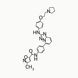 Cc1cc(C(=O)Nc2ccc(-c3cccc4nc(Nc5ccc(OCCN6CCCC6)cc5)nn34)cc2)on1